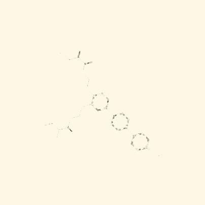 C=C(CO)C(=O)OCOc1ccc(-c2ccc(-c3ccc(CCCCCCC)cc3)cc2)cc1OCOC(=O)C(C)CO